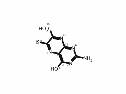 Nc1nc(O)c2nc(S)c(C(=O)O)nc2n1